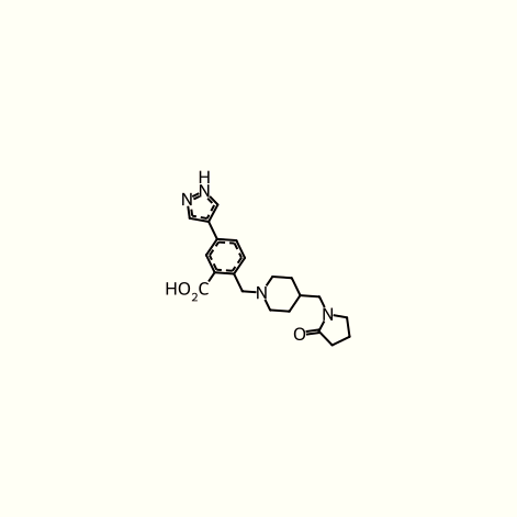 O=C(O)c1cc(-c2cn[nH]c2)ccc1CN1CCC(CN2CCCC2=O)CC1